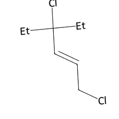 CCC(Cl)(C=CCCl)CC